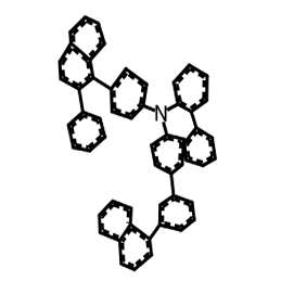 c1ccc(-c2ccccc2N(c2ccc(-c3cccc(-c4cccc5ccccc45)c3)cc2)c2ccc(-c3c(-c4ccccc4)ccc4ccccc34)cc2)cc1